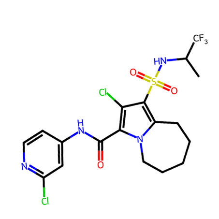 CC(NS(=O)(=O)c1c(Cl)c(C(=O)Nc2ccnc(Cl)c2)n2c1CCCCC2)C(F)(F)F